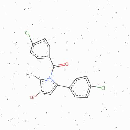 O=C(c1ccc(Cl)cc1)n1c(-c2ccc(Cl)cc2)cc(Br)c1C(F)(F)F